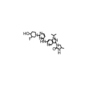 CC1CN(c2nn(C(C)C)c3cc(Nc4ccnc(N5CCC(O)C(F)C5)n4)ncc23)C(=O)N1